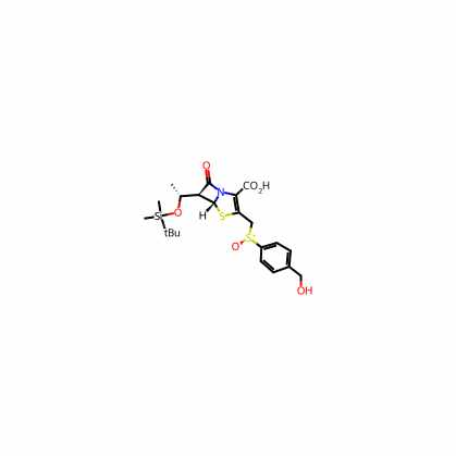 C[C@@H](O[Si](C)(C)C(C)(C)C)[C@H]1C(=O)N2C(C(=O)O)=C(C[S+]([O-])c3ccc(CO)cc3)S[C@H]12